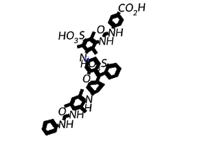 Cc1cc(C)c(Nc2ccc3c(-c4ccccc4S(=O)(=O)O)c4cc/c(=N\c5c(C)c(NC(=O)Nc6ccc(C(=O)O)cc6)c(C)c(S(=O)(=O)O)c5C)cc-4oc3c2)c(C)c1NC(=O)Nc1ccccc1